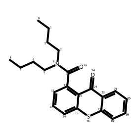 CCCCN(CCCC)C(=O)c1cccc2sc3ccccc3c(=O)c12